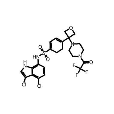 O=C(N1CCN(C2(C3=CC=C(S(=O)(=O)Nc4ccc(Cl)c5c(Cl)c[nH]c45)CC3)COC2)CC1)C(F)(F)F